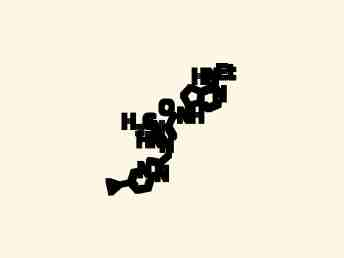 CCNc1nccc2c1CCC2NC(=O)C1=CN(Cc2cn3cc(C4CC4)ccc3n2)NN1C